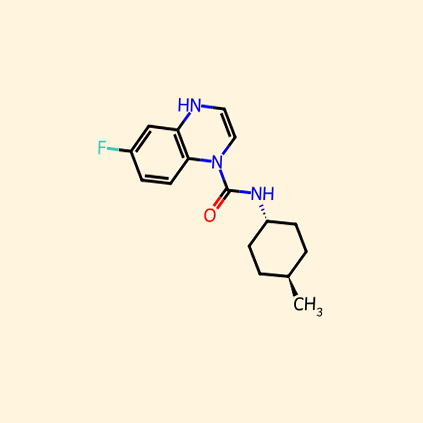 C[C@H]1CC[C@H](NC(=O)N2C=CNc3cc(F)ccc32)CC1